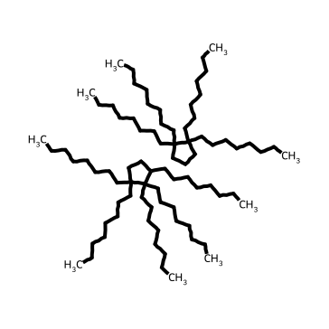 CCCCCCCCC1(CCCCCCCC)CCCC1(CCCCCCCC)CCCCCCCC.CCCCCCCCC1CCC(CCCCCCCC)(CCCCCCCC)C1(CCCCCCCC)CCCCCCCC